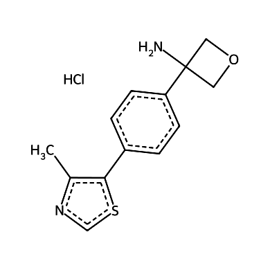 Cc1ncsc1-c1ccc(C2(N)COC2)cc1.Cl